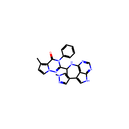 Cc1ccn2nc(C(C)Nc3ncnc4[nH]cc(-c5cnn(C)c5)c34)n(-c3ccccc3)c(=O)c12